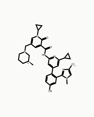 C[C@H]1CCCN(Cc2cc(C(=O)Nc3cc(-c4ccc(C#N)cc4-c4nc(C(F)(F)F)cn4C)cc(C4CC4)n3)c(=O)n(C3CC3)c2)C1